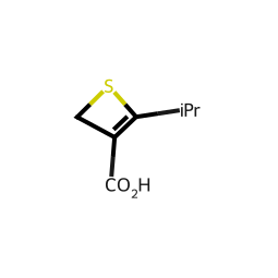 CC(C)C1=C(C(=O)O)CS1